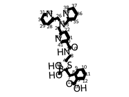 O=C(NCCSC(Cc1ccccc1C(=O)O)B(O)O)c1ccc(CN(Cc2ccccn2)Cc2ccccn2)nc1